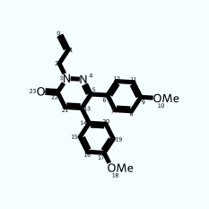 C=CCn1nc(-c2ccc(OC)cc2)c(-c2ccc(OC)cc2)cc1=O